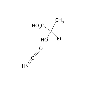 CCC(C)(O)C(=O)O.N=C=O